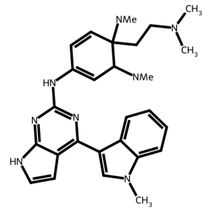 CNC1C=C(Nc2nc(-c3cn(C)c4ccccc34)c3cc[nH]c3n2)C=CC1(CCN(C)C)NC